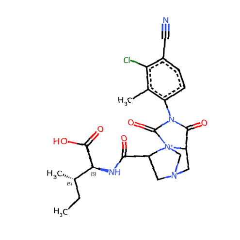 CC[C@H](C)[C@H](NC(=O)C1CN2CC3C(=O)N(c4ccc(C#N)c(Cl)c4C)C(=O)[N+]13C2)C(=O)O